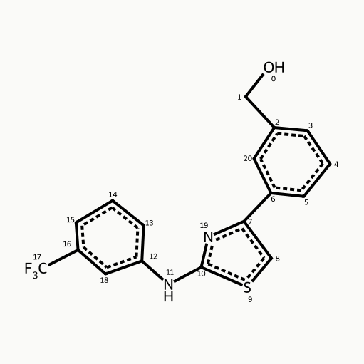 OCc1cccc(-c2csc(Nc3cccc(C(F)(F)F)c3)n2)c1